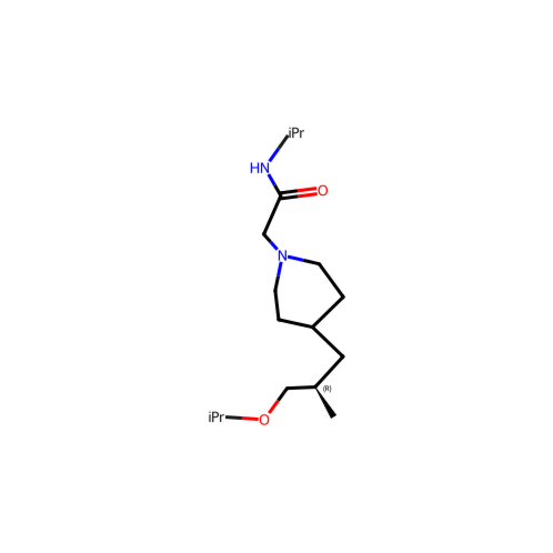 CC(C)NC(=O)CN1CCC(C[C@@H](C)COC(C)C)CC1